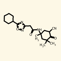 CC1(NC(=O)Cc2noc(C3CCCCC3)n2)CC(C#N)C(=O)C(C)(C)C1